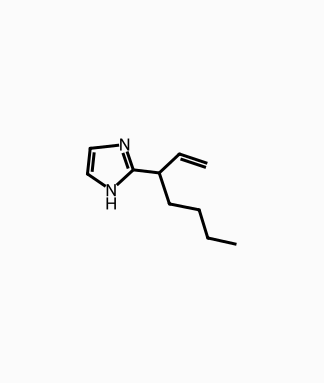 C=CC(CCCC)c1ncc[nH]1